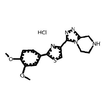 COc1ccc(-c2nc(-c3nnc4n3CCNC4)cs2)cc1OC.Cl